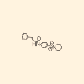 O=C(C=Cc1ccccc1)Nc1ccc(S(=O)(=O)N2CCCCC2)cc1